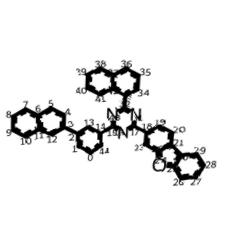 c1cc(-c2ccc3ccccc3c2)cc(-c2nc(-c3ccc4c(c3)oc3ccccc34)nc(-c3cccc4ccccc34)n2)c1